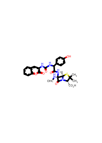 CC1(C)S[C@H]2N(C(=O)[C@@]2(NC=O)NC(=O)C(NC(=O)Nc2cc3ccccc3oc2=O)c2ccc(O)cc2)[C@H]1C(=O)O